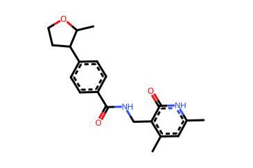 Cc1cc(C)c(CNC(=O)c2ccc(C3CCOC3C)cc2)c(=O)[nH]1